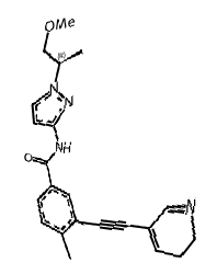 COC[C@@H](C)n1ccc(NC(=O)c2ccc(C)c(C#CC3=CCCN=C3)c2)n1